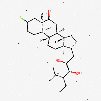 CC[C@@H](C(C)C)[C@H](O)[C@@H](O)[C@@H](C)[C@H]1CC[C@H]2[C@@H]3CC(=O)[C@H]4C[C@H](F)CC[C@]4(C)[C@H]3CC[C@]12C